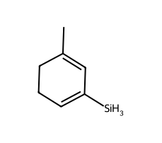 CC1=CC([SiH3])=CCC1